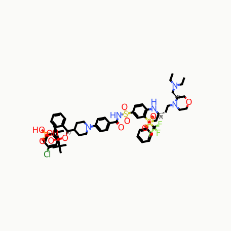 CCN(CC)C[C@H]1COCCN1CC[C@H](CSc1ccccc1)Nc1ccc(S(=O)(=O)NC(=O)c2ccc(N3CCC([C@@H](OC(OP(=O)(O)O)(C(C)(C)C)C(C)(C)C)c4ccccc4-c4ccc(Cl)cc4)CC3)cc2)cc1S(=O)(=O)C(F)(F)F